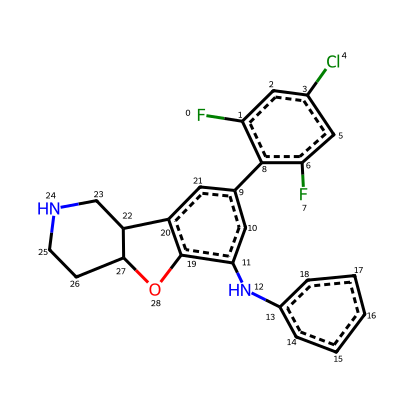 Fc1cc(Cl)cc(F)c1-c1cc(Nc2ccccc2)c2c(c1)C1CNCCC1O2